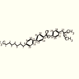 CCCCCCCCc1ccc(-c2ccc(C(=O)Oc3ccc(CC(C)CC)cc3)cc2)cc1